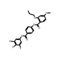 CCCOc1cc(OC)ccc1C(=O)Oc1ccc(C(=O)Oc2cc(F)c(F)c(F)c2)cc1